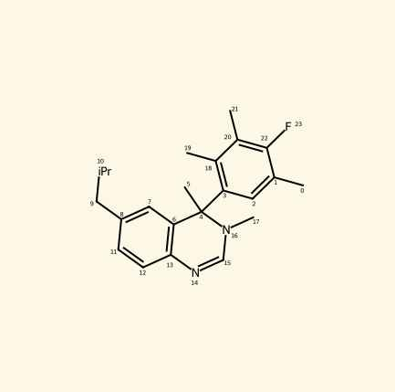 Cc1cc(C2(C)c3cc(CC(C)C)ccc3N=CN2C)c(C)c(C)c1F